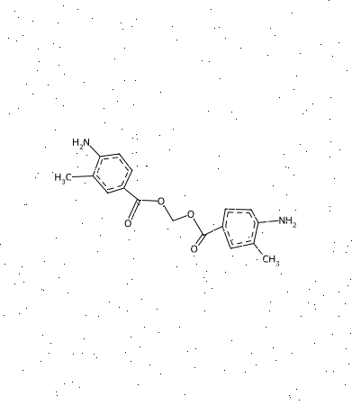 Cc1cc(C(=O)OCOC(=O)c2ccc(N)c(C)c2)ccc1N